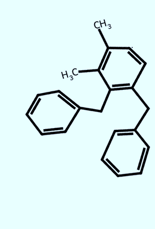 Cc1[c]cc(Cc2ccccc2)c(Cc2ccccc2)c1C